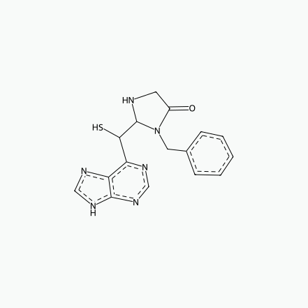 O=C1CNC(C(S)c2ncnc3[nH]cnc23)N1Cc1ccccc1